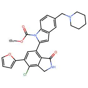 CC(C)(C)OC(=O)n1c(-c2cc(-c3ccco3)c(Cl)c3c2C(=O)NC3)cc2cc(CN3CCCCC3)ccc21